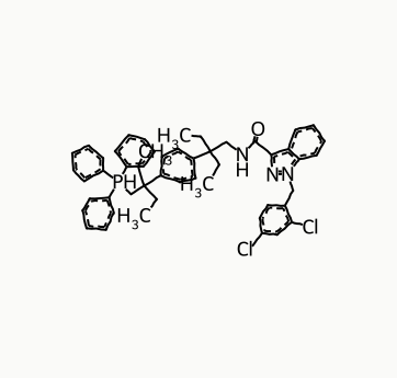 CCC(CC)(CNC(=O)c1nn(Cc2ccc(Cl)cc2Cl)c2ccccc12)c1ccc(C(CC)(CC)C[PH](c2ccccc2)(c2ccccc2)c2ccccc2)cc1